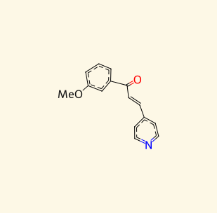 COc1cccc(C(=O)/C=C/c2ccncc2)c1